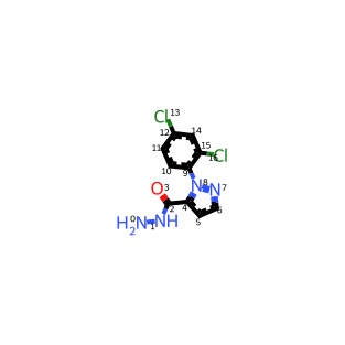 NNC(=O)c1ccnn1-c1ccc(Cl)cc1Cl